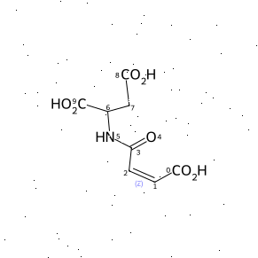 O=C(O)/C=C\C(=O)NC(CC(=O)O)C(=O)O